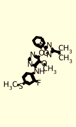 COc1c(Nc2ccc(SC)cc2F)ncnc1O[C@H]1CC2CCC1N2c1nc(C(C)C)no1